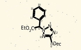 CCCCCCCCCCc1nnn(C(C(=O)OCC)c2ccccc2)n1